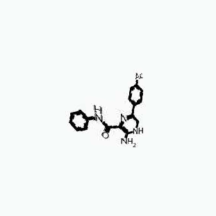 CC(=O)c1ccc(C2=NC(C(=O)Nc3ccccc3)=C(N)NC2)cc1